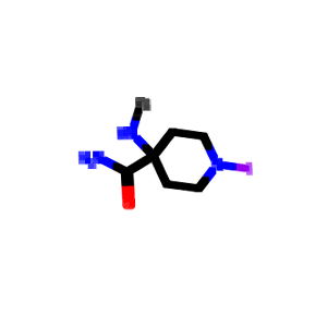 CCNC1(C(N)=O)CCN(I)CC1